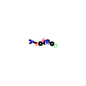 CCN(CC)CCCOc1ccc(C(C)C(=O)N2CCC(c3ccc(Cl)cc3)=N2)cc1